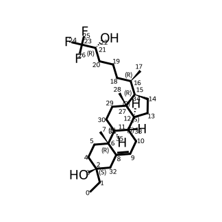 CC[C@]1(O)CC[C@@]2(C)C(=CC[C@H]3[C@@H]4CC[C@H]([C@H](C)CCC[C@@H](O)C(F)(F)F)[C@@]4(C)CC[C@@H]32)C1